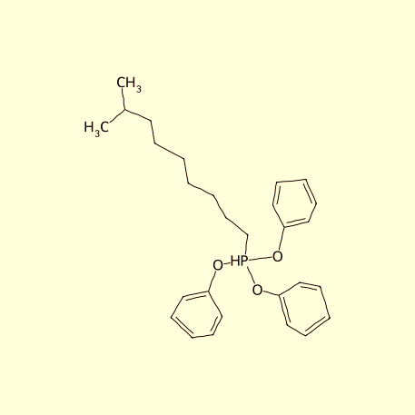 CC(C)CCCCCCC[PH](Oc1ccccc1)(Oc1ccccc1)Oc1ccccc1